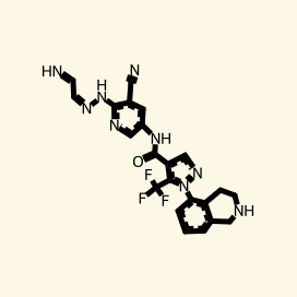 N#Cc1cc(NC(=O)c2cnn(-c3cccc4c3CCNC4)c2C(F)(F)F)cnc1N/N=C\C=N